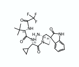 CC(C)(C)[C@H](NC(=O)C(F)(F)F)C(=O)N[C@H](C(=O)N1C[C@]2(C[C@H]1N)C(=O)Nc1ccccc12)C1CC1